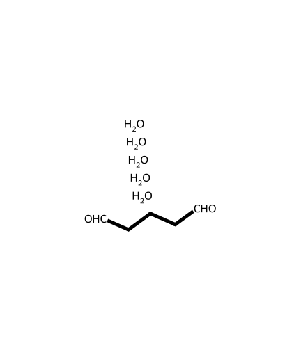 O.O.O.O.O.O=CCCCC=O